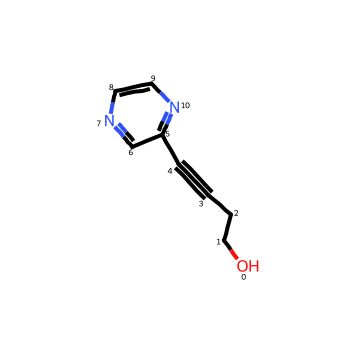 OCCC#Cc1cnccn1